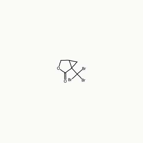 O=C1OCC2CC12C(Br)(Br)Br